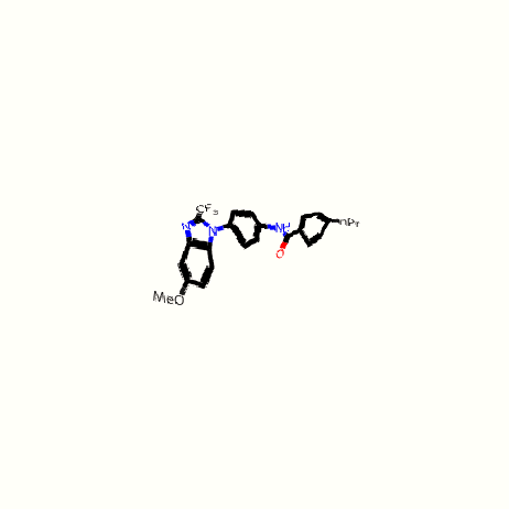 CCCc1ccc(C(=O)Nc2ccc(-n3c(C(F)(F)F)nc4cc(OC)ccc43)cc2)cc1